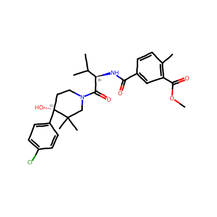 COC(=O)c1cc(C(=O)N[C@@H](C(=O)N2CC[C@](O)(c3ccc(Cl)cc3)C(C)(C)C2)C(C)C)ccc1C